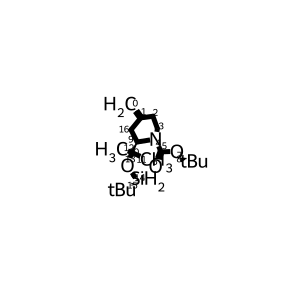 C=C1CCN(C(=O)OC(C)(C)C)[C@@H](C(C)(C)O[SiH2]C(C)(C)C)C1